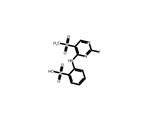 CS(=O)(=O)c1[c]nc(F)nc1Nc1ccccc1S(=O)(=O)O